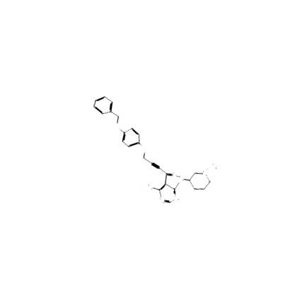 N#CN1CCCC(n2nc(C#CCOc3ccc(OCc4ccccc4)cc3)c3c(N)ncnc32)C1